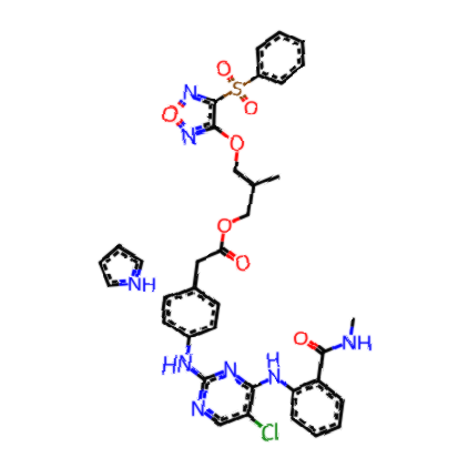 CNC(=O)c1ccccc1Nc1nc(Nc2ccc(CC(=O)OCC(C)COc3nonc3S(=O)(=O)c3ccccc3)cc2)ncc1Cl.c1cc[nH]c1